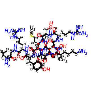 CCC[C@H](NC(=O)[C@H](CC(=O)O)NC(=O)[C@@H](NC(=O)[C@@H](CCSC)NC(=O)[C@H](CO)NC(=O)[C@H](CCCNC(=N)N)NC(=O)[C@H](CC(C)C)NC(=O)[C@@H](C)CCCCN)[C@@H](C)O)C(=O)N[C@@H](Cc1ccc(O)cc1)C(=O)N[C@@H](CCCNC(=N)N)C(=O)N[C@@H](CC(C)C)C(N)=O